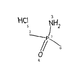 CP(C)(N)=O.Cl